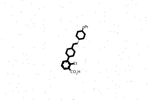 CCC[C@H]1CC[C@H](CCC2CCC(c3cccc(C(=O)O)c3CC)CC2)CC1